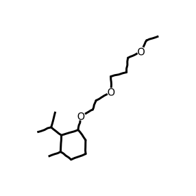 CCOCCCOCCOC1CCCC(C)C1C(C)C